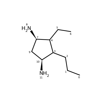 CCCC1C(CC)[C@H](N)C[C@@H]1N